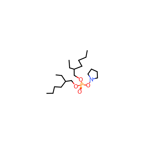 CCCCC(CC)COP(=O)(OCC(CC)CCCC)ON1CCCC1